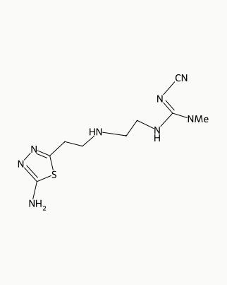 CNC(=NC#N)NCCNCCc1nnc(N)s1